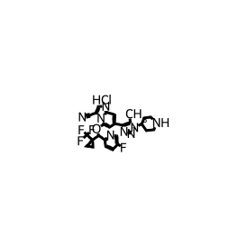 Cc1c(-c2cc(OC(c3ccc(F)cn3)C3(C(F)(F)F)CC3)n3c(C#N)cnc3c2)nnn1C1CCNCC1.Cl